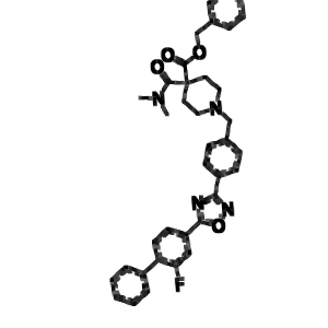 CN(C)C(=O)C1(C(=O)OCc2ccccc2)CCN(Cc2ccc(-c3noc(-c4ccc(-c5ccccc5)c(F)c4)n3)cc2)CC1